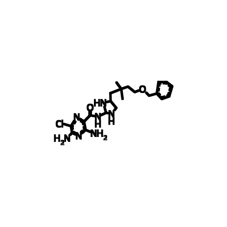 CC(C)(CCOCc1ccccc1)CC1CNC(NC(=O)c2nc(Cl)c(N)nc2N)N1